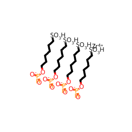 O=[PH]([O-])OCCCCCCS(=O)(=O)O.O=[PH]([O-])OCCCCCCS(=O)(=O)O.O=[PH]([O-])OCCCCCCS(=O)(=O)O.O=[PH]([O-])OCCCCCCS(=O)(=O)O.[Zr+4]